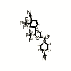 N#Cc1ccc(N2C[C@@H](C(=O)N3CCN(C#N)CC3)O[C@@H]2C(F)(F)F)cc1C(F)(F)F